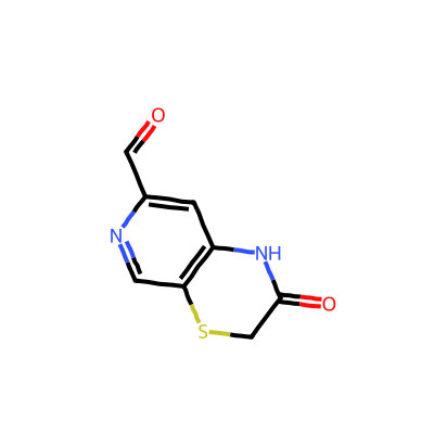 O=Cc1cc2c(cn1)SCC(=O)N2